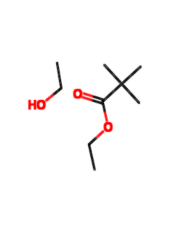 CCO.CCOC(=O)C(C)(C)C